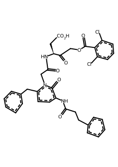 O=C(O)C[C@H](NC(=O)Cn1c(Cc2ccccc2)ccc(NC(=O)CCc2ccccc2)c1=O)C(=O)COC(=O)c1c(Cl)cccc1Cl